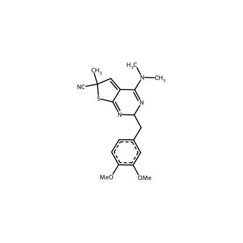 COc1ccc(CC2N=C3SC(C)(C#N)C=C3C(N(C)C)=N2)cc1OC